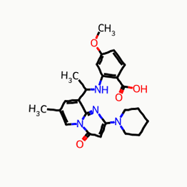 COc1ccc(C(=O)O)c(NC(C)c2cc(C)cn3c(=O)cc(N4CCCCC4)nc23)c1